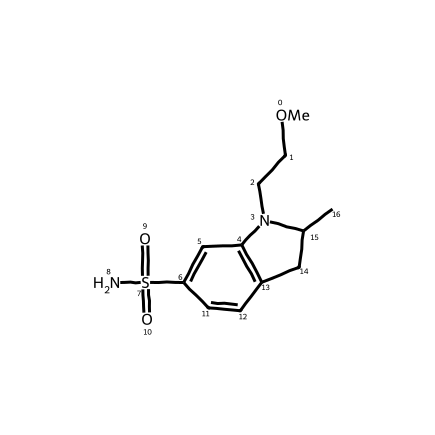 COCCN1c2cc(S(N)(=O)=O)ccc2CC1C